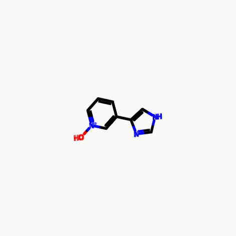 O[n+]1cccc(-c2c[nH]cn2)c1